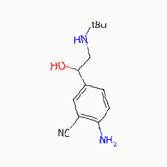 CC(C)(C)NCC(O)c1ccc(N)c(C#N)c1